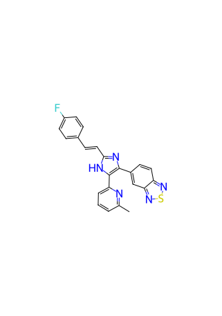 Cc1cccc(-c2[nH]c(/C=C/c3ccc(F)cc3)nc2-c2ccc3nsnc3c2)n1